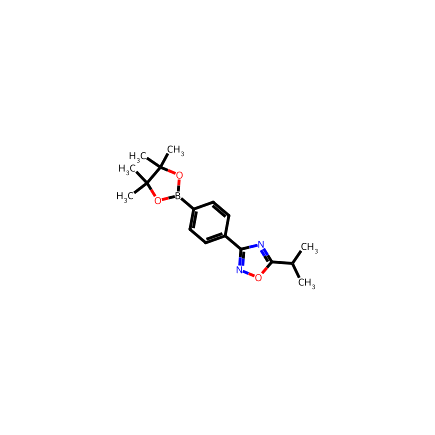 CC(C)c1nc(-c2ccc(B3OC(C)(C)C(C)(C)O3)cc2)no1